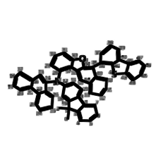 CC1(C)c2ccccc2-c2ccc(N(c3cc4ccccc4c4ccccc34)c3cccc4oc5c(-c6cccc7c6sc6ccccc67)c6ccccc6cc5c34)cc21